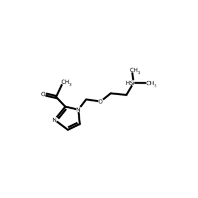 CC(=O)c1nccn1COCC[SiH](C)C